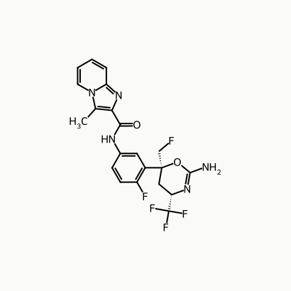 Cc1c(C(=O)Nc2ccc(F)c([C@]3(CF)C[C@@H](C(F)(F)F)N=C(N)O3)c2)nc2ccccn12